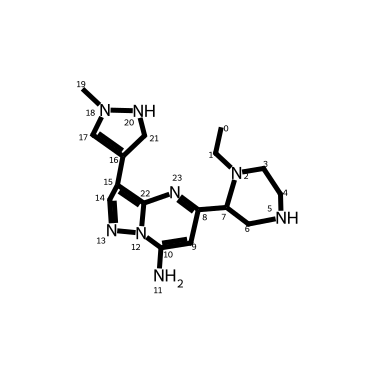 CCN1CCNCC1c1cc(N)n2ncc(C3=CN(C)NC3)c2n1